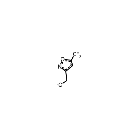 [O]Cc1cc(C(F)(F)F)on1